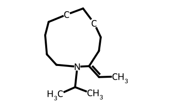 C/C=C1\CCCCCCCCCN1C(C)C